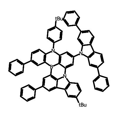 CC(C)(C)c1ccc(N2c3ccc(-c4ccccc4)cc3B3c4c2cc(-n2c5cc(-c6ccccc6)ccc5c5ccc(-c6ccccc6)cc52)cc4-n2c4ccc(C(C)(C)C)cc4c4cc(-c5ccccc5)cc3c42)cc1